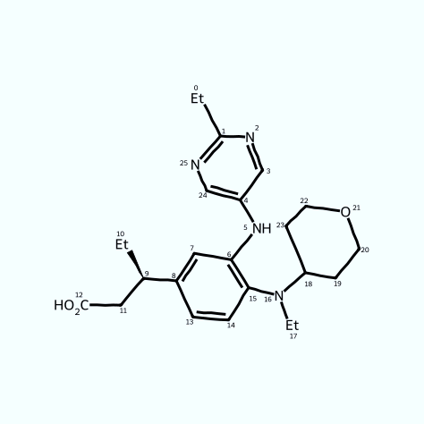 CCc1ncc(Nc2cc([C@H](CC)CC(=O)O)ccc2N(CC)C2CCOCC2)cn1